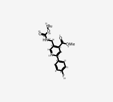 COC(=O)c1cc(-c2ccc(F)cc2)ncc1CNC(=O)OC(C)(C)C